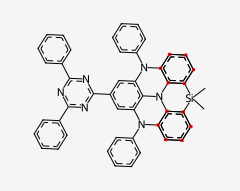 C[Si]1(C)c2ccccc2N(c2c(N(c3ccccc3)c3ccccc3)cc(-c3nc(-c4ccccc4)nc(-c4ccccc4)n3)cc2N(c2ccccc2)c2ccccc2)c2ccccc21